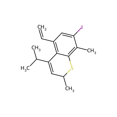 C=Cc1cc(I)c(C)c2c1C(C(C)C)=CC(C)S2